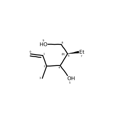 C=CC(C)C(O)[C@H](CC)CO